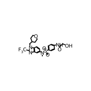 CN(c1ccc2c(c1)nc(C(F)(F)F)n2CC1CCOCC1)S(=O)(=O)c1ccc(NC(=O)CO)cc1